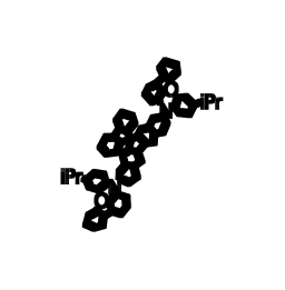 CC(C)c1ccc(N(c2ccc3cc4c(cc3c2)C2(c3ccccc3-c3ccccc32)c2cc3cc(N(c5ccc(C(C)C)cc5)c5cccc6c5oc5ccccc56)ccc3cc2-4)c2cccc3c2oc2ccccc23)cc1